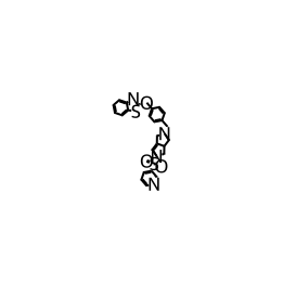 O=S(=O)(c1cccnc1)N1C=C2CN(Cc3ccc(Oc4nc5ccccc5s4)cc3)CC2C1